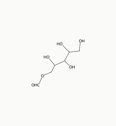 O=COCC(O)C(O)C(O)CO